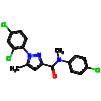 Cc1cc(C(=O)N(C)c2ccc(Cl)cc2)nn1-c1ccc(Cl)cc1Cl